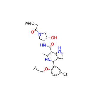 CCc1ccc(OCC2CC2)c(C2NC(C)=C(C(=O)N[C@@H]3CN(C(=O)COC)C[C@@H]3O)c3[nH]ccc32)c1